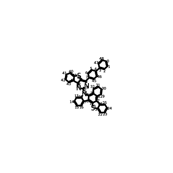 c1ccc(-c2ccc(-c3nc(-n4c5ccccc5c5c6sc7ccccc7c6c6ccccc6c54)nc4c3sc3ccccc34)cc2)cc1